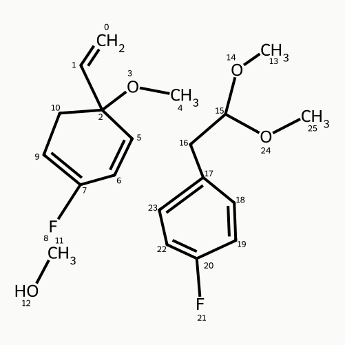 C=CC1(OC)C=CC(F)=CC1.CO.COC(Cc1ccc(F)cc1)OC